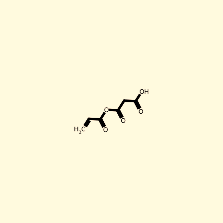 C=CC(=O)OC(=O)CC(=O)O